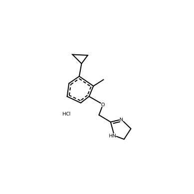 Cc1c(OCC2=NCCN2)cccc1C1CC1.Cl